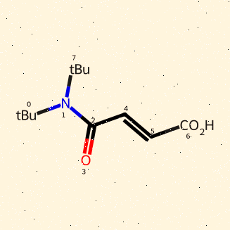 CC(C)(C)N(C(=O)/C=C/C(=O)O)C(C)(C)C